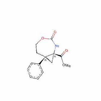 COC(=O)[C@@]12C[C@]1(c1ccccc1)CCOC(=O)N2